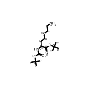 CC(C)(C)OC(=O)N[C@@H](CCSCCN)C(=O)OC(C)(C)C